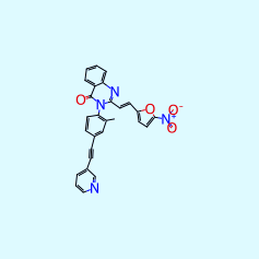 Cc1cc(C#Cc2cccnc2)ccc1-n1c(C=Cc2ccc([N+](=O)[O-])o2)nc2ccccc2c1=O